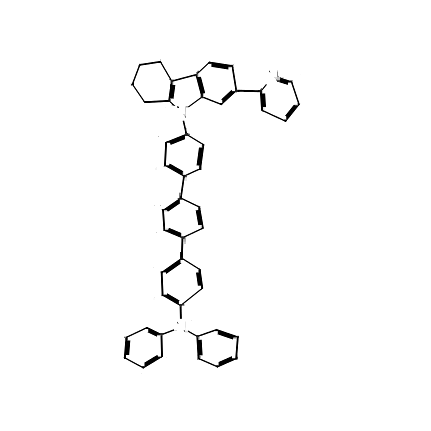 c1ccc(N(c2ccccc2)c2ccc(-c3ccc(-c4ccc(-n5c6c(c7ccc(-c8ccccn8)cc75)CCCC6)cc4)cc3)cc2)cc1